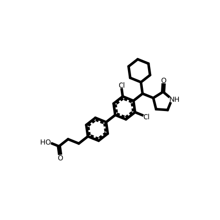 O=C(O)CCc1ccc(-c2cc(Cl)c(C(C3CCCCC3)C3CCNC3=O)c(Cl)c2)cc1